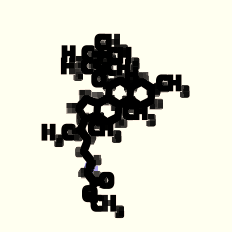 COC(=O)/C=C/CC[C@@H](C)[C@H]1CCC2C3C(CC[C@@]21C)[C@@]1(C)CC[C@@H](C)C[C@H]1C[C@@H]3O[Si](C)(C)C(C)(C)C